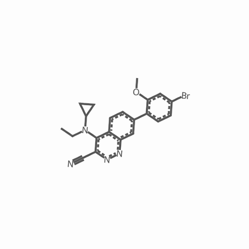 CCN(c1c(C#N)nnc2cc(-c3ccc(Br)cc3OC)ccc12)C1CC1